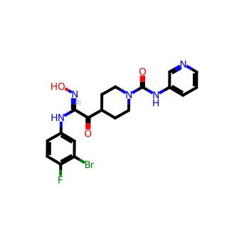 O=C(/C(=N/O)Nc1ccc(F)c(Br)c1)C1CCN(C(=O)Nc2cccnc2)CC1